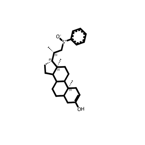 C[C@H](C[S+]([O-])c1ccccc1)[C@H]1CCC2C3CCC4CC(O)=CC[C@]4(C)C3CC[C@@]21C